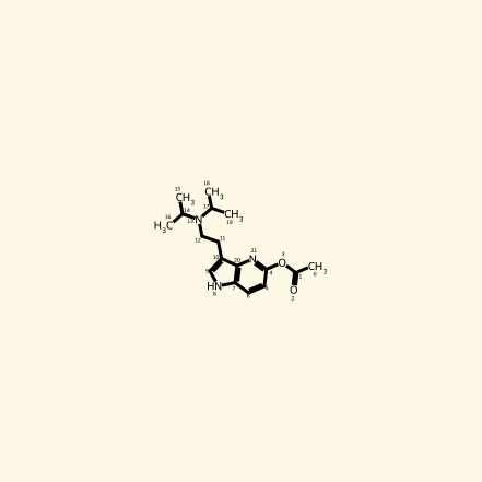 CC(=O)Oc1ccc2[nH]cc(CCN(C(C)C)C(C)C)c2n1